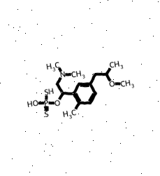 COC(C)Cc1ccc(C)c(C(CN(C)C)OP(O)(=S)S)c1